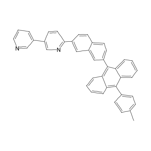 Cc1ccc(-c2c3ccccc3c(-c3ccc4ccc(-c5ccc(-c6cccnc6)cn5)cc4c3)c3ccccc23)cc1